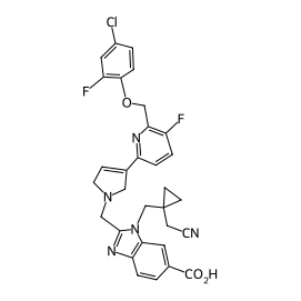 N#CCC1(Cn2c(CN3CC=C(c4ccc(F)c(COc5ccc(Cl)cc5F)n4)C3)nc3ccc(C(=O)O)cc32)CC1